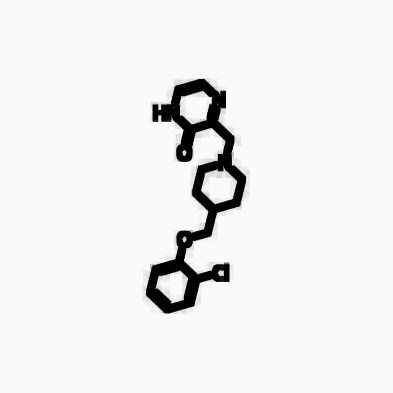 O=c1[nH]ccnc1CN1CCC(COc2ccccc2Cl)CC1